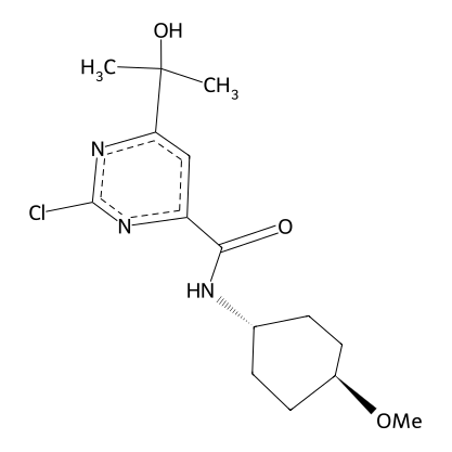 CO[C@H]1CC[C@H](NC(=O)c2cc(C(C)(C)O)nc(Cl)n2)CC1